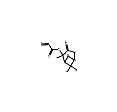 C=CC(=O)OC1(C)C(=O)CC2CC1C2(C)C